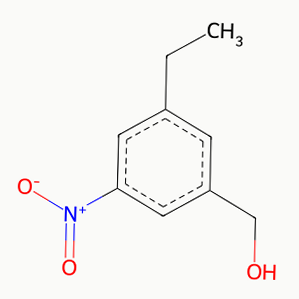 CCc1cc(CO)cc([N+](=O)[O-])c1